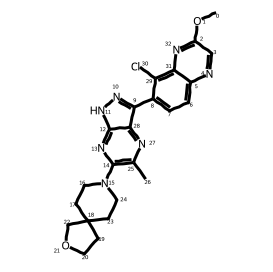 COc1cnc2ccc(-c3n[nH]c4nc(N5CCC6(CCOC6)CC5)c(C)nc34)c(Cl)c2n1